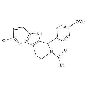 CCC(=O)N1CCc2c([nH]c3ccc(Cl)cc23)C1c1ccc(OC)cc1